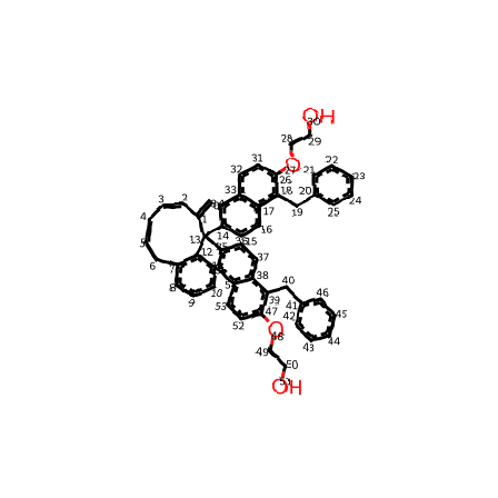 C=C1/C=C\C=C/Cc2ccccc2C1(c1ccc2c(Cc3ccccc3)c(OCCO)ccc2c1)c1ccc2c(Cc3ccccc3)c(OCCO)ccc2c1